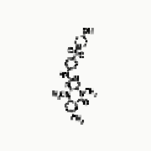 Cc1ccc2c(c1)C(=O)N(C)c1cnc(Nc3ccc(S(=O)(=O)N4CCC(O)CC4)cc3)nc1N2C